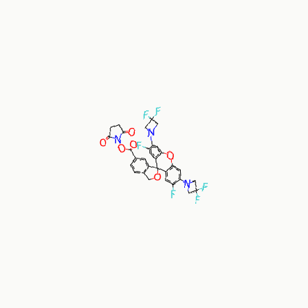 O=C(ON1C(=O)CCC1=O)c1ccc2c(c1)C1(OC2)c2cc(F)c(N3CC(F)(F)C3)cc2Oc2cc(N3CC(F)(F)C3)c(F)cc21